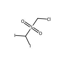 O=S(=O)(CCl)C(I)I